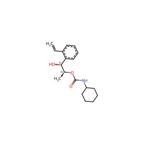 C=Cc1ccccc1[C@H](O)[C@H](C)OC(=O)NC1CCCCC1